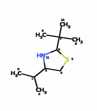 CC(C)C1CSC(C(C)(C)C)N1